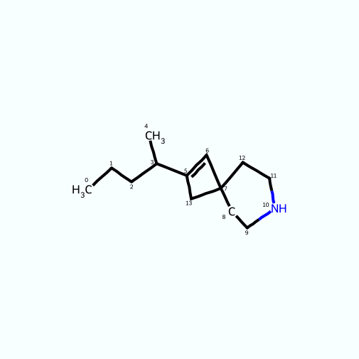 CCCC(C)C1=CC2(CCNCC2)C1